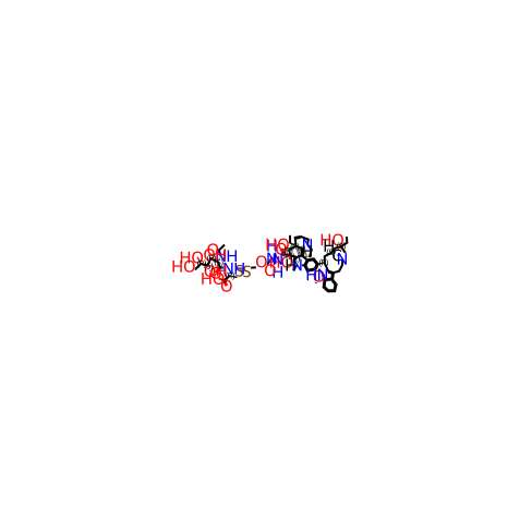 CC[C@]1(O)C[C@@H]2C[C@H](c3cc4c(cc3OC)N(C)[C@H]3[C@@](O)(C(=O)NNC(=O)OCCSSC[C@H](NC(=O)[C@@H](NC(C)=O)[C@@H](O)[C@H](O)[C@H](O)CO)C(=O)O)[C@H](O)[C@]5(CC)C=CCN6CC[C@]43[C@@H]65)c3[nH]c4ccccc4c3CCN(C2)C1